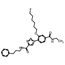 CCNC(=O)c1ccc(-n2cc(C(=O)NCCCc3ccccc3)nn2)c(OCCCCCCF)c1